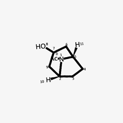 CC(=O)N1[C@@H]2CC[C@H]1CC(O)C2